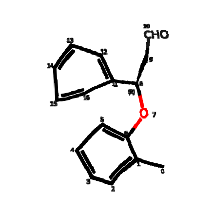 Cc1ccccc1O[C@H](CC=O)c1ccccc1